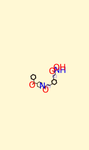 O=C(/C=C/c1cccc(/C=C/C(=O)N2CCC(C(=O)c3ccccc3)CC2)c1)NO